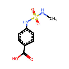 CNS(=O)(=O)Nc1ccc(C(=O)O)cc1